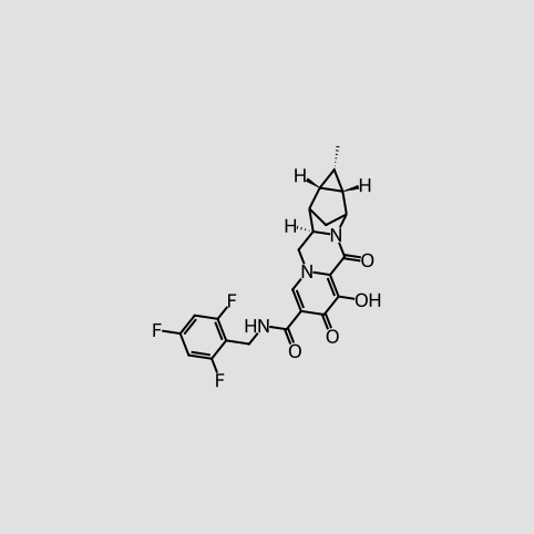 C[C@H]1[C@H]2C3CC([C@@H]12)N1C(=O)c2c(O)c(=O)c(C(=O)NCc4c(F)cc(F)cc4F)cn2C[C@@H]31